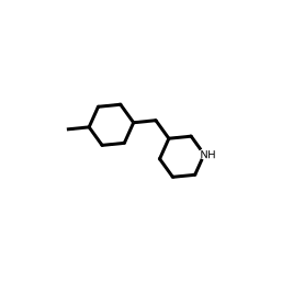 CC1CCC(CC2CCCNC2)CC1